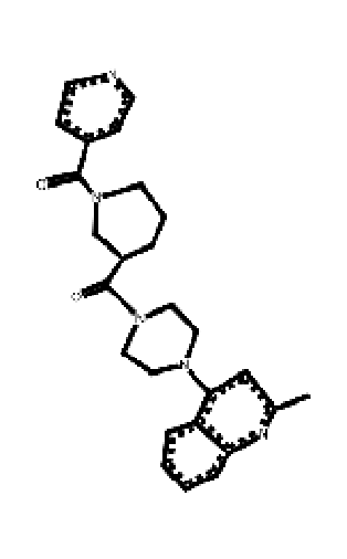 Cc1cc(N2CCN(C(=O)C3CCCN(C(=O)c4ccncc4)C3)CC2)c2ccccc2n1